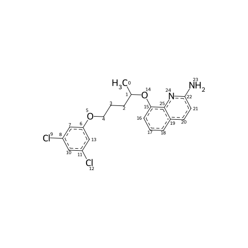 CC(CCCOc1cc(Cl)cc(Cl)c1)Oc1cccc2ccc(N)nc12